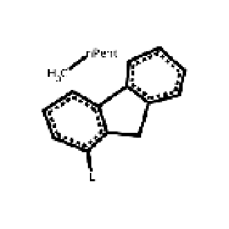 CCCCCC.[Li][c]1cccc2c1Cc1ccccc1-2